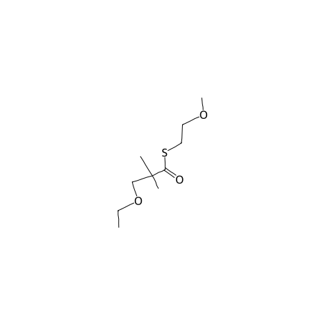 CCOCC(C)(C)C(=O)SCCOC